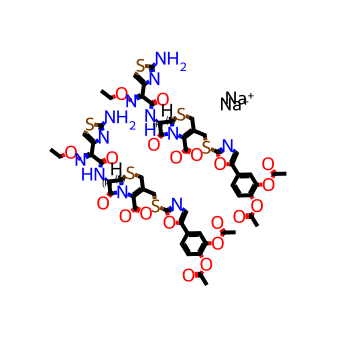 CCON=C(C(=O)N[C@@H]1C(=O)N2C(C(=O)[O-])=C(CSc3ncc(-c4ccc(OC(C)=O)c(OC(C)=O)c4)o3)CS[C@@H]12)c1csc(N)n1.CCON=C(C(=O)N[C@@H]1C(=O)N2C(C(=O)[O-])=C(CSc3ncc(-c4ccc(OC(C)=O)c(OC(C)=O)c4)o3)CS[C@@H]12)c1csc(N)n1.[Na+].[Na+]